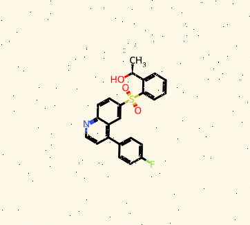 C[C@H](O)c1ccccc1S(=O)(=O)c1ccc2nccc(-c3ccc(F)cc3)c2c1